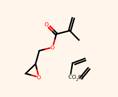 C=C.C=C(C)C(=O)OCC1CO1.C=CC(=O)OCC